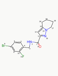 O=C(NCc1ccc(Br)cc1F)c1cc2n(n1)CCCC2